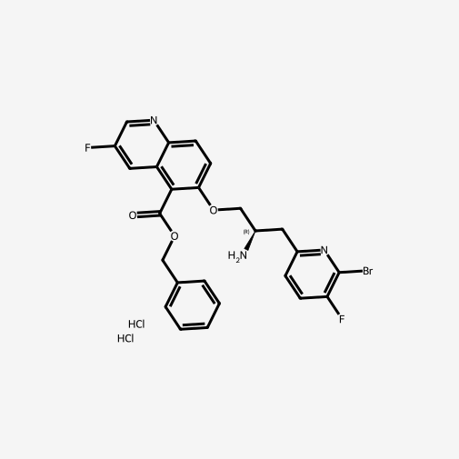 Cl.Cl.N[C@@H](COc1ccc2ncc(F)cc2c1C(=O)OCc1ccccc1)Cc1ccc(F)c(Br)n1